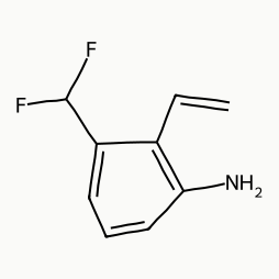 C=Cc1c(N)cccc1C(F)F